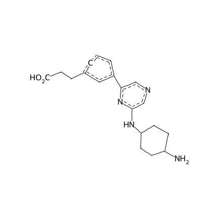 NC1CCC(Nc2cncc(-c3cccc(CCC(=O)O)c3)n2)CC1